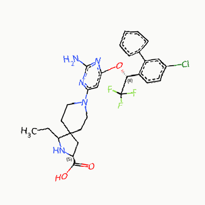 CCC1N[C@H](C(=O)O)CC12CCN(c1cc(O[C@H](c3ccc(Cl)cc3-c3ccccc3)C(F)(F)F)nc(N)n1)CC2